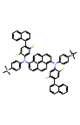 C[Si](C)(C)c1ccc(N(c2cc(F)c(-c3cccc4ccccc34)cc2F)c2ccc3ccc4c(N(c5ccc([Si](C)(C)C)cc5)c5cc(F)c(-c6cccc7ccccc67)cc5F)ccc5ccc2c3c54)cc1